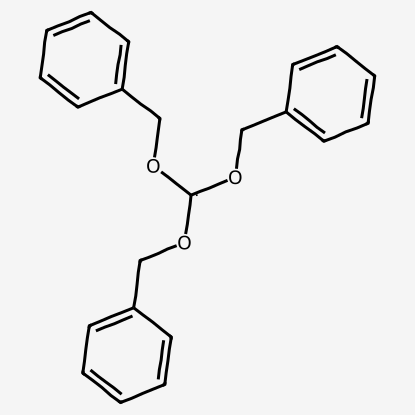 c1ccc(CO[C](OCc2ccccc2)OCc2ccccc2)cc1